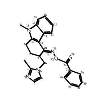 Cc1nccn1CC1CCc2c(c3ccccc3n2C)/C1=N/OC(=S)c1ccccc1